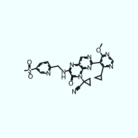 COc1ncnc(C2CC2)c1-c1ncc2nc(NCc3ccc(S(C)(=O)=O)cn3)c(=O)n(C3(C#N)CC3)c2n1